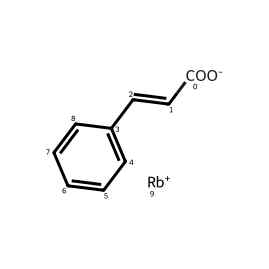 O=C([O-])/C=C/c1ccccc1.[Rb+]